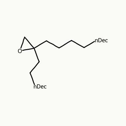 CCCCCCCCCCCCCCC1(CCCCCCCCCCCC)CO1